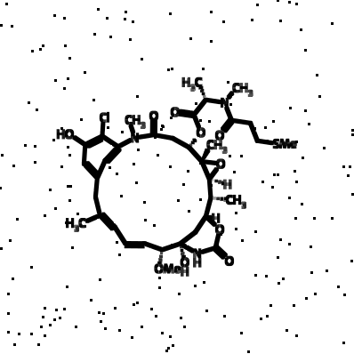 CO[C@@H]1/C=C/C=C(\C)Cc2cc(O)c(Cl)c(c2)N(C)C(=O)C[C@H](OC(=O)[C@H](C)N(C)C(=O)CCSC)[C@]2(C)O[C@H]2[C@H](C)[C@@H]2C[C@@]1(O)NC(=O)O2